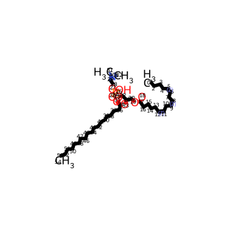 CCCCC/C=C\C/C=C\C/C=C\CCCCC(=O)OCC(COP(=O)(O)OCCN(C)C)OC(=O)CCCCCCCCCCCCCCCCCCC